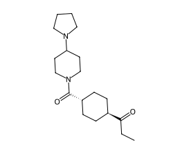 CCC(=O)[C@H]1CC[C@H](C(=O)N2CCC(N3CCCC3)CC2)CC1